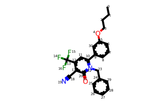 CCCCOc1cccc(-c2cc(C(F)(F)F)c(C#N)c(=O)n2Cc2ccccc2)c1